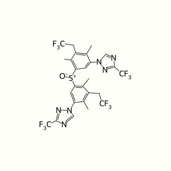 Cc1c(-n2cnc(C(F)(F)F)n2)cc([S+]([O-])c2cc(-n3cnc(C(F)(F)F)n3)c(C)c(CC(F)(F)F)c2C)c(C)c1CC(F)(F)F